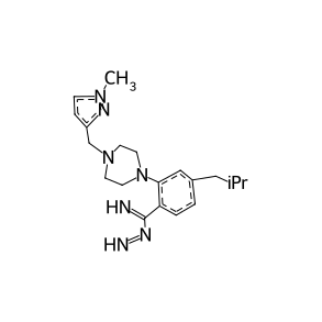 CC(C)Cc1ccc(C(=N)N=N)c(N2CCN(Cc3ccn(C)n3)CC2)c1